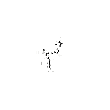 Cc1cn([C@H]2CC(O)[C@@H](COP(=O)(OC(=O)[C@H](O)[C@@H](O)[C@H](O)[C@H](O)CO)OP(=O)(O)O)O2)c(=O)[nH]c1=O